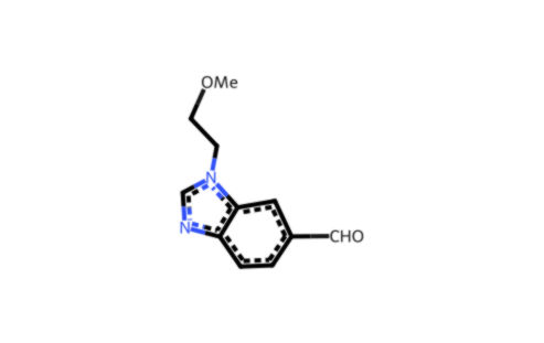 COCCn1cnc2ccc(C=O)cc21